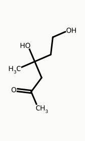 CC(=O)CC(C)(O)CCO